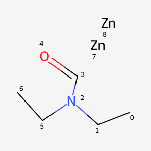 CCN(C=O)CC.[Zn].[Zn]